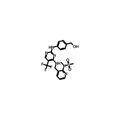 CN(c1ncccc1CNc1nc(Nc2ccc(CO)cc2)ncc1C(F)(F)F)S(C)(=O)=O